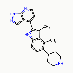 Cc1c(C2CCNCC2)ccc2[nH]c(-c3ccnc4[nH]ncc34)c(C)c12